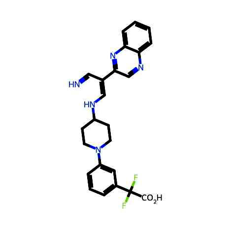 N=C/C(=C\NC1CCN(c2cccc(C(F)(F)C(=O)O)c2)CC1)c1cnc2ccccc2n1